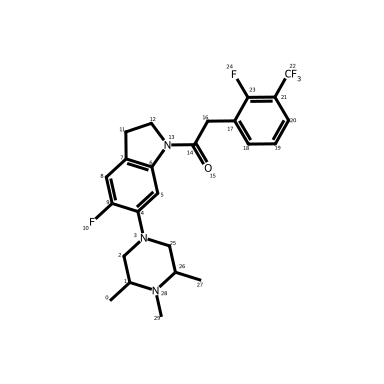 CC1CN(c2cc3c(cc2F)CCN3C(=O)Cc2cccc(C(F)(F)F)c2F)CC(C)N1C